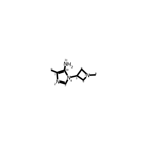 Cc1ncn(C2CN(C)C2)c1N